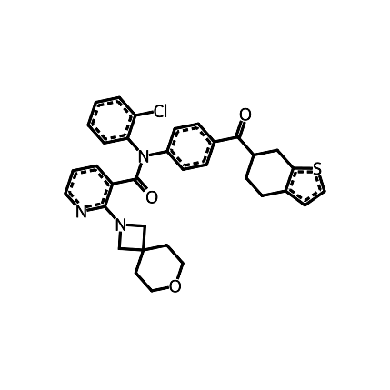 O=C(c1ccc(N(C(=O)c2cccnc2N2CC3(CCOCC3)C2)c2ccccc2Cl)cc1)C1CCc2ccsc2C1